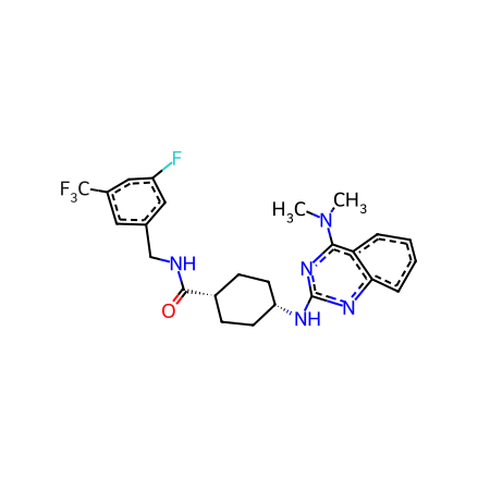 CN(C)c1nc(N[C@H]2CC[C@@H](C(=O)NCc3cc(F)cc(C(F)(F)F)c3)CC2)nc2ccccc12